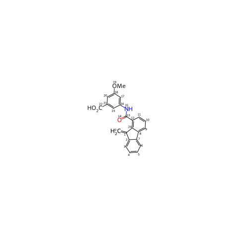 C=C1c2ccccc2-c2cccc(C(=O)Nc3cc(OC)cc(C(=O)O)c3)c21